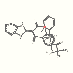 CC(C)(O)C(=N)NS(=O)(=O)C1C=CC=CC1(F)C(=O)C(C(=O)c1cc(F)ccc1F)=C1Nc2ccccc2N1